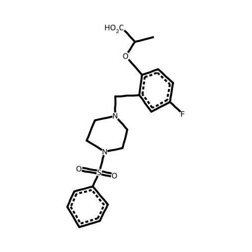 CC(Oc1ccc(F)cc1CN1CCN(S(=O)(=O)c2ccccc2)CC1)C(=O)O